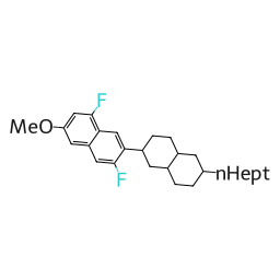 CCCCCCCC1CCC2CC(c3cc4c(F)cc(OC)cc4cc3F)CCC2C1